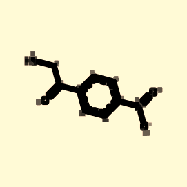 O=C(CS)c1ccc([N+](=O)[O-])cc1